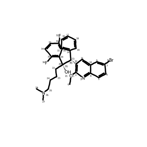 COc1nc2ccc(Br)cc2cc1[C@@H](c1ccccc1)[C@@](O)(CCCCN(C)C)c1cc(F)ccc1F